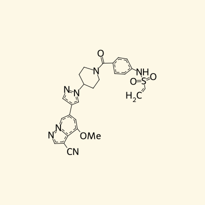 C=CS(=O)(=O)Nc1ccc(C(=O)N2CCC(n3cc(-c4cc(OC)c5c(C#N)cnn5c4)cn3)CC2)cc1